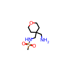 CS(=O)(=O)NCC1(CN)CCOCC1